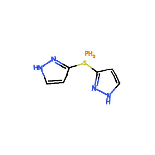 P.c1cc(Sc2cc[nH]n2)n[nH]1